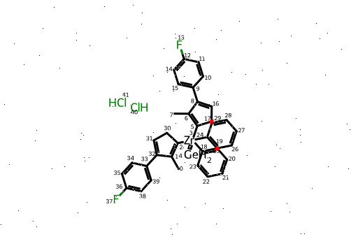 CC1=[C]([Zr](=[GeH2])([C]2=C(C)C(c3ccc(F)cc3)=CC2)([c]2ccccc2)[c]2ccccc2)CC=C1c1ccc(F)cc1.Cl.Cl